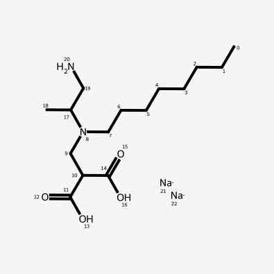 CCCCCCCCN(CC(C(=O)O)C(=O)O)C(C)CN.[Na].[Na]